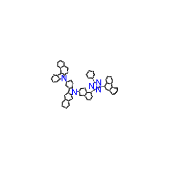 c1ccc(-c2nc(-c3cccc4cc(-n5c6ccc(-n7c8ccccc8c8c9ccccc9ccc87)cc6c6cc7ccccc7cc65)ccc34)nc(-c3cc4ccccc4c4ccccc34)n2)cc1